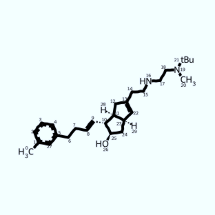 Cc1cccc(CC/C=C/[C@@H]2[C@H]3CC(CCNCCN(C)C(C)(C)C)=C[C@H]3C[C@H]2O)c1